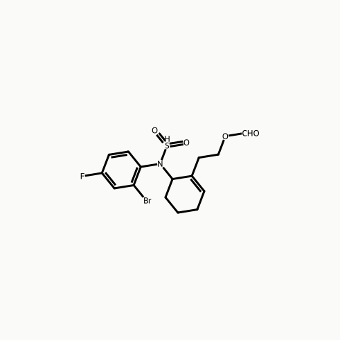 O=COCCC1=CCCCC1N(c1ccc(F)cc1Br)[SH](=O)=O